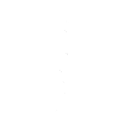 CC(C)C12CC(NC(=O)N3CCN(C)CC3)(C1)C2